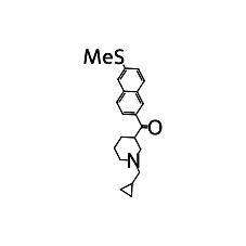 CSc1ccc2cc(C(=O)C3CCCN(CC4CC4)C3)ccc2c1